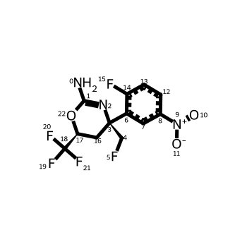 NC1=N[C@](CF)(c2cc([N+](=O)[O-])ccc2F)C[C@@H](C(F)(F)F)O1